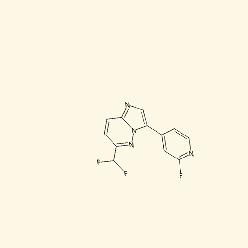 Fc1cc(-c2cnc3ccc(C(F)F)nn23)ccn1